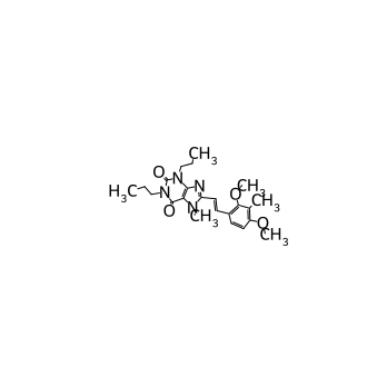 CCCn1c(=O)c2c(nc(C=Cc3ccc(OC)c(C)c3OC)n2C)n(CCC)c1=O